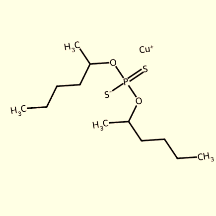 CCCCC(C)OP(=S)([S-])OC(C)CCCC.[Cu+]